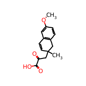 COc1ccc2c(c1)C=CC(C)(CC(=O)C(=O)O)C2